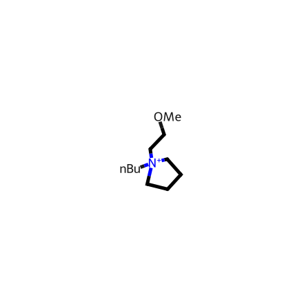 CCCC[N+]1(CCOC)CCCC1